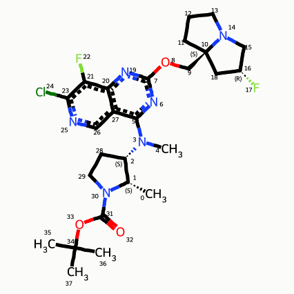 C[C@H]1[C@@H](N(C)c2nc(OC[C@@]34CCCN3C[C@H](F)C4)nc3c(F)c(Cl)ncc23)CCN1C(=O)OC(C)(C)C